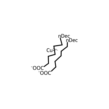 CCCCCCCCCCCCCCCC(=O)[O-].CCCCCCCCCCCCCCCC(=O)[O-].[Cu+2]